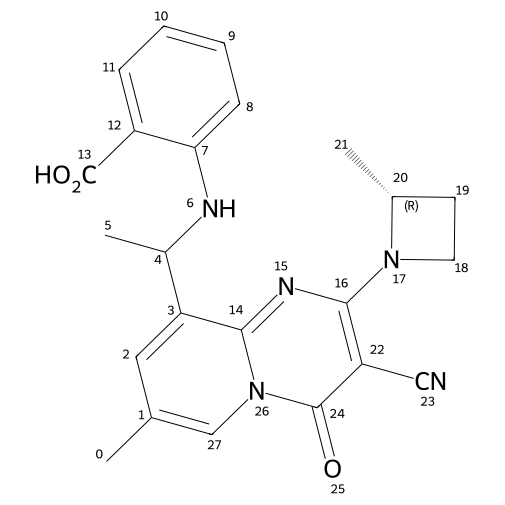 Cc1cc(C(C)Nc2ccccc2C(=O)O)c2nc(N3CC[C@H]3C)c(C#N)c(=O)n2c1